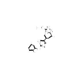 Fc1ccccc1Oc1ncc(-c2ccc3nnc(C(F)(F)F)n3c2)cn1